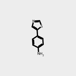 Nc1ccc(-c2cncs2)cc1